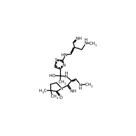 CN/C=C(/NC(C)(O)c1csc(N/C=C(\C=N)CNC)n1)C(=N)N1CCC(C)(C)C1=O